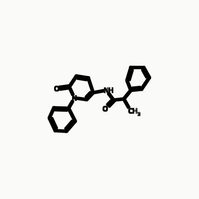 CC(C(=O)Nc1ccc(=O)n(-c2ccccc2)c1)c1ccccc1